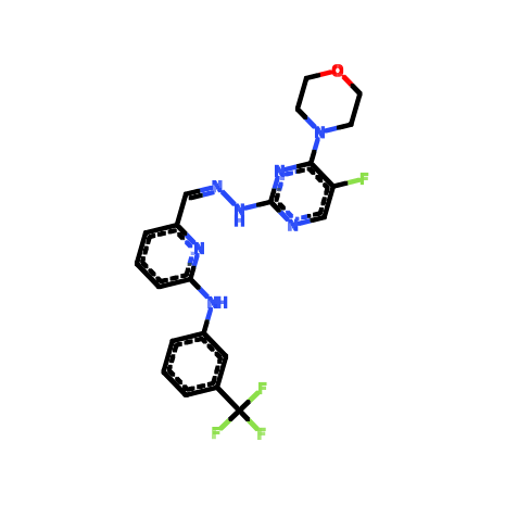 Fc1cnc(N/N=C\c2cccc(Nc3cccc(C(F)(F)F)c3)n2)nc1N1CCOCC1